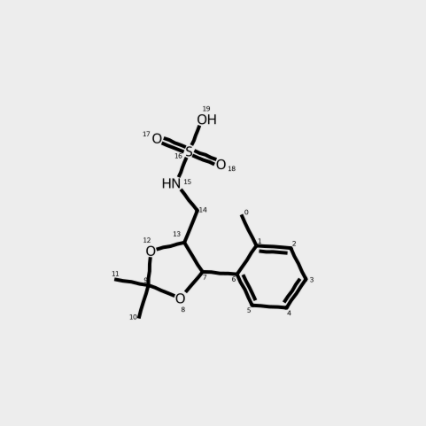 Cc1ccccc1C1OC(C)(C)OC1CNS(=O)(=O)O